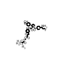 COC1CCC([C@@H]2CCN(C(=O)[C@H]3CC[C@H]([C@H](N)CCF)CC3)[C@@H]2C(=O)Nc2ccc3oc(C(=O)OCOC(=O)C(C)(C)C)cc3c2)CC1